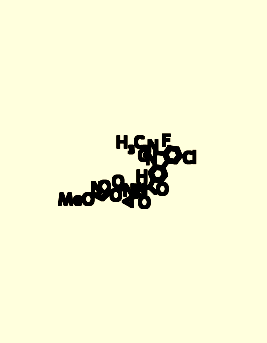 COc1cc(OC(=O)NC2(C(=O)NC3COc4cc(-c5cc(Cl)cc(F)c5-c5noc(C)n5)ccc43)CC2)on1